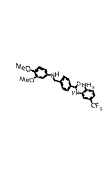 COc1ccc(NCc2ccc(C(=O)Nc3cc(C(F)(F)F)ccc3N)cc2)cc1OC